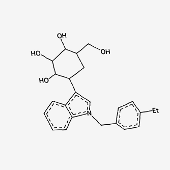 CCc1ccc(Cn2cc(C3CC(CO)C(O)C(O)C3O)c3ccccc32)cc1